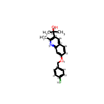 Cc1nc2cc(OCc3ccc(F)cc3)ccc2cc1C(C)(C)O